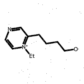 CC[n+]1ccncc1CCCC[O]